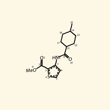 COC(=O)c1sccc1NC(=O)C1CCC(C)CC1